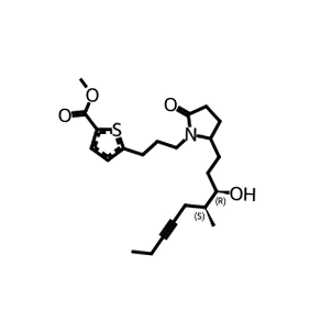 CCC#CC[C@H](C)[C@H](O)CCC1CCC(=O)N1CCCc1ccc(C(=O)OC)s1